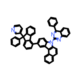 c1ccc(-c2nc(-n3c4ccc(-c5cccc6c5-c5ccccc5C6(c5ccccc5)c5cccnc5)cc4c4c5ccccc5ccc43)nc3ccccc23)cc1